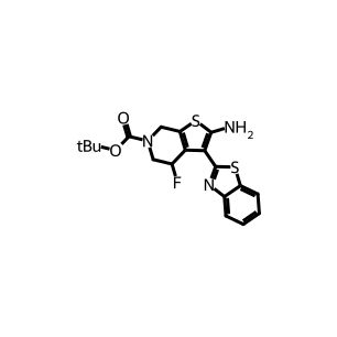 CC(C)(C)OC(=O)N1Cc2sc(N)c(-c3nc4ccccc4s3)c2C(F)C1